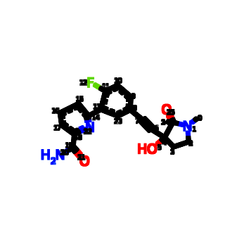 CN1CCC(O)(C#Cc2ccc(F)c(-c3cccc(C(N)=O)n3)c2)C1=O